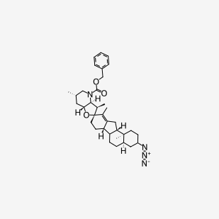 CC1=C2C[C@H]3C(CC[C@@H]4CC(N=[N+]=[N-])CC[C@@]43C)[C@@H]2CC[C@]12O[C@@H]1C[C@H](C)CN(C(=O)OCc3ccccc3)[C@H]1[C@H]2C